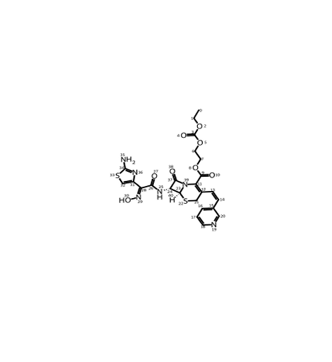 CCOC(=O)OCCOC(=O)C1=C(/C=C\c2cccnc2)CS[C@H]2[C@H](NC(=O)C(=NO)c3csc(N)n3)C(=O)N12